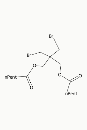 CCCCCC(=O)OCC(CBr)(CBr)COC(=O)CCCCC